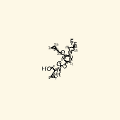 O=C(NC(CO)C1CC1)Oc1cnc(N2CC(F)(F)C2)c(OCC2CC2)n1